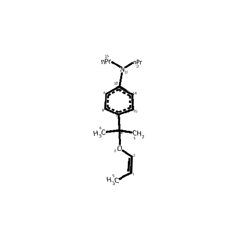 C/C=C\OC(C)(C)c1ccc(N(CCC)CCC)cc1